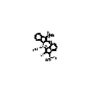 [CH2]=[Zr+2]([CH]1C(CC)=C([SiH](CC)CC)c2ccccc21)[CH]1C(CC)=C([SiH](CC)CC)c2ccccc21.[Cl-].[Cl-]